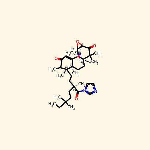 CCC(C)(C)CC[C@@](C)(CC[C@]1(C)C(C)C(=O)C=C2[C@@]3(C)[C@H]4O[C@@]4(C#N)C(=O)C(C)(C)[C@@H]3CC[C@]21C)C(=O)n1ccnc1